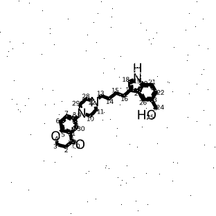 O=C1CCOc2ccc(N3CCN(CCCCc4c[nH]c5ccc(CO)cc45)CC3)cc21